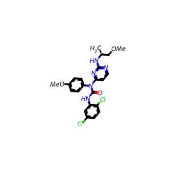 COC[C@H](C)Nc1nccc(N(C(=O)Nc2cc(Cl)ccc2Cl)c2ccc(OC)cc2)n1